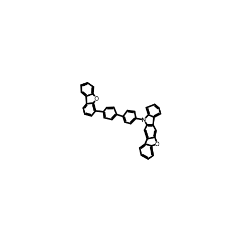 c1ccc2c(c1)oc1cc3c4ccccc4n(-c4ccc(-c5ccc(-c6cccc7c6oc6ccccc67)cc5)cc4)c3cc12